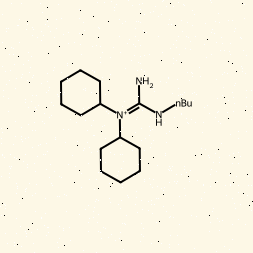 CCCCNC(N)=[N+](C1CCCCC1)C1CCCCC1